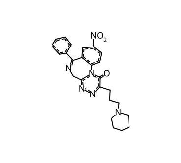 O=c1c(CCCN2CCCCC2)nnc2n1-c1ccc([N+](=O)[O-])cc1C(c1ccccc1)=NC2